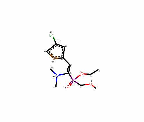 CCOP(=O)(COC)/C(=C/c1cc(Br)cs1)N(C)C